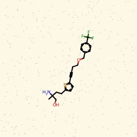 CC(N)(CO)CCc1ccc(C#CCCOCc2ccc(C(F)(F)F)cc2)s1